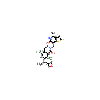 Cc1[nH]c(=O)c(CN2CCc3c(Cl)cc(C(C)C4COC4)c(Cl)c3C2=O)c2sccc12